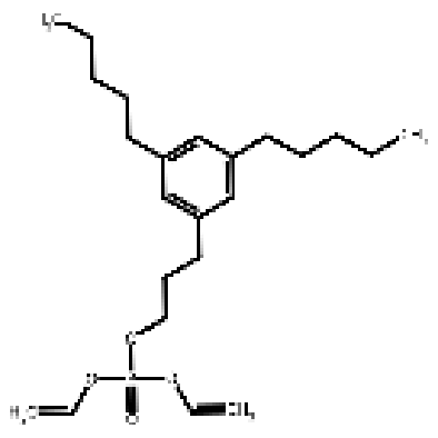 C=COP(=O)(OC=C)OCCCc1cc(CCCCC)cc(CCCCC)c1